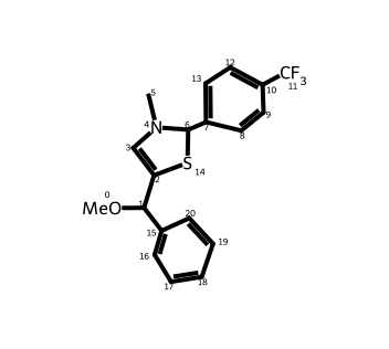 COC(C1=CN(C)C(c2ccc(C(F)(F)F)cc2)S1)c1ccccc1